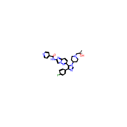 C[C@@H](O)CN1CCC(n2cnc(-c3ccc(F)cc3)c2-c2ccc3nc(NC(=O)c4ccncc4)cn3n2)CC1